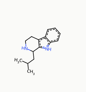 CC(C)CC1NCCc2c1[nH]c1ccccc21